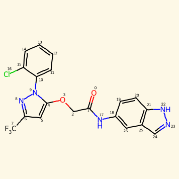 O=C(COc1cc(C(F)(F)F)nn1-c1ccccc1Cl)Nc1ccc2[nH]ncc2c1